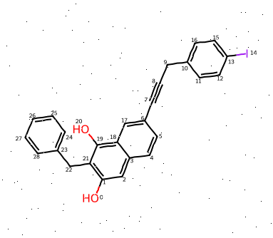 Oc1cc2ccc(C#CCc3ccc(I)cc3)cc2c(O)c1Cc1ccccc1